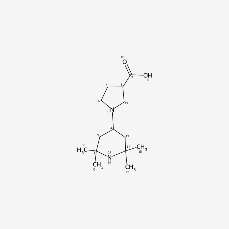 CC1(C)CC(N2CCC(C(=O)O)C2)CC(C)(C)N1